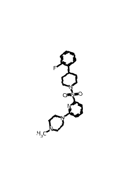 CN1CCN(c2cccc(S(=O)(=O)N3CCC(c4ccccc4F)CC3)n2)CC1